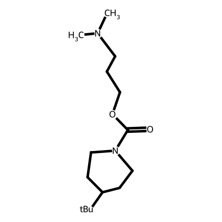 CN(C)CCCOC(=O)N1CCC(C(C)(C)C)CC1